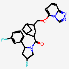 O=C(C1CC(COc2cccc3nncn23)C2CC1C2)N1CC(F)CC1c1cccc(F)c1